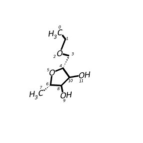 CCOC[C@H]1O[C@@H](C)C(O)C1O